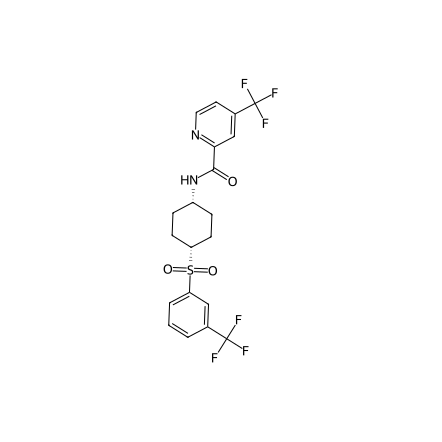 O=C(N[C@H]1CC[C@@H](S(=O)(=O)c2cccc(C(F)(F)F)c2)CC1)c1cc(C(F)(F)F)ccn1